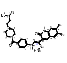 CCN(CC)CCN1CCN(C(=O)c2ccc(N/C=C(\N=N)c3cc4cc(F)c(F)cc4[nH]c3=O)cc2)CC1